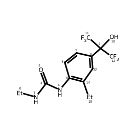 CCNC(=O)Nc1ccc(C(O)(C(F)(F)F)C(F)(F)F)cc1CC